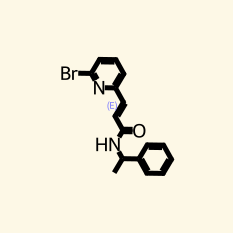 CC(NC(=O)/C=C/c1cccc(Br)n1)c1ccccc1